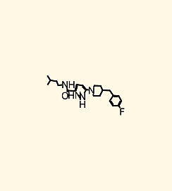 CC(C)CCNC(=O)C1=CC=C(N2CCC(Cc3ccc(F)cc3)CC2)NN1